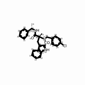 C[C@H](NC(=O)[C@@](C)(Cc1c[nH]c2ccccc12)N(Cc1ccc(Cl)cc1)C(=O)O)c1ccccc1